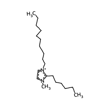 CCCCCCCCCC[n+]1ccn(C)c1CCCCCC